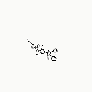 CCCCCNC(=O)Oc1c(OC)cc(-c2nc(-c3cccs3)c(-c3ccccc3)[nH]2)cc1OC